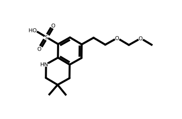 COCOCCc1cc2c(c(S(=O)(=O)O)c1)NCC(C)(C)C2